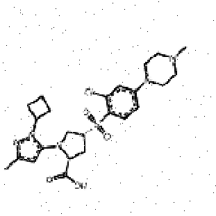 Cc1cc(N2C[C@H](S(=O)(=O)c3ccc(N4CCN(C)CC4)cc3Cl)C[C@H]2C(=O)O)n(C2CCC2)n1